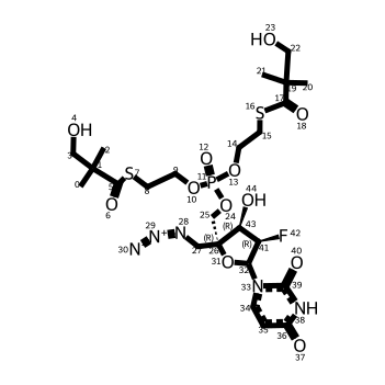 CC(C)(CO)C(=O)SCCOP(=O)(OCCSC(=O)C(C)(C)CO)OC[C@@]1(CN=[N+]=[N-])OC(n2ccc(=O)[nH]c2=O)[C@H](F)[C@@H]1O